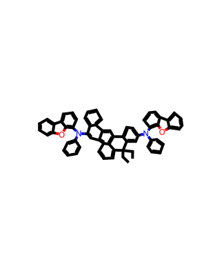 CCC1(CC)c2cc(N(c3ccccc3)c3cccc4c3oc3ccccc34)ccc2-c2cc3c4ccccc4c(N(c4ccccc4)c4cccc5c4oc4ccccc45)cc3c3cccc1c23